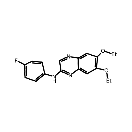 CCOc1cc2ncc(Nc3ccc(F)cc3)nc2cc1OCC